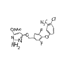 COc1cc(OCc2cc(F)c(Oc3ccc(Cl)c(C)c3)c(F)c2)nc(N)n1